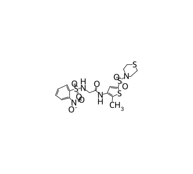 Cc1sc(S(=O)(=O)N2CCSCC2)cc1NC(=O)CNS(=O)(=O)c1ccccc1[N+](=O)[O-]